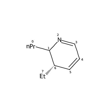 CCCC1N=CC=C[C@@H]1CC